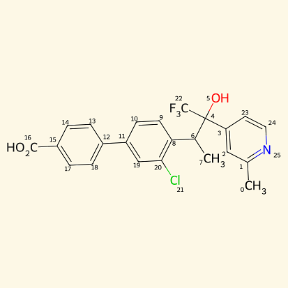 Cc1cc(C(O)(C(C)c2ccc(-c3ccc(C(=O)O)cc3)cc2Cl)C(F)(F)F)ccn1